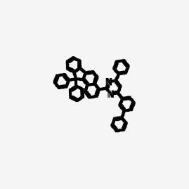 c1ccc(-c2cccc(-c3cc(-c4ccccc4)nc(-c4cccc5c6c(ccc45)-c4ccccc4C6(c4ccccc4)c4ccccc4)n3)c2)cc1